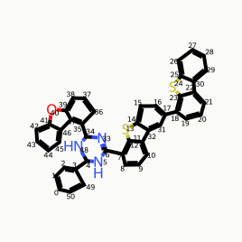 c1ccc(C2NC(c3cccc4c3sc3ccc(-c5cccc6c5sc5ccccc56)cc34)=NC(c3cccc4oc5ccccc5c34)N2)cc1